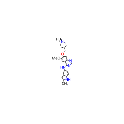 COc1cc2c(Nc3ccc4[nH]c(C)cc4c3)ncnc2cc1OCC1CCN(C)CC1